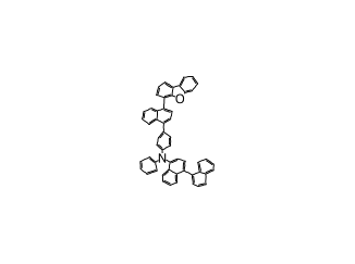 c1ccc(N(c2ccc(-c3ccc(-c4cccc5c4oc4ccccc45)c4ccccc34)cc2)c2ccc(-c3cccc4ccccc34)c3ccccc23)cc1